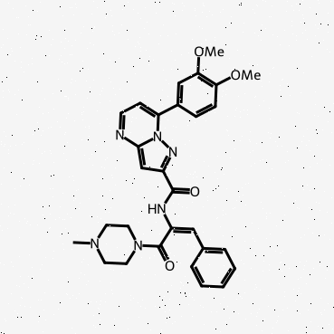 COc1ccc(-c2ccnc3cc(C(=O)NC(=Cc4ccccc4)C(=O)N4CCN(C)CC4)nn23)cc1OC